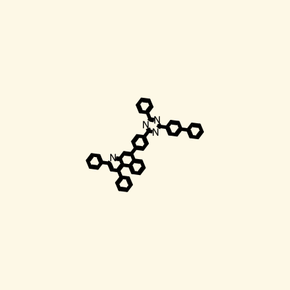 c1ccc(-c2ccc(-c3nc(-c4ccccc4)nc(-c4ccc(-c5cc6nc(-c7ccccc7)cc(-c7ccccc7)c6c6ccccc56)cc4)n3)cc2)cc1